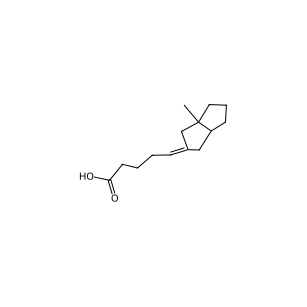 CC12CCCC1CC(=CCCCC(=O)O)C2